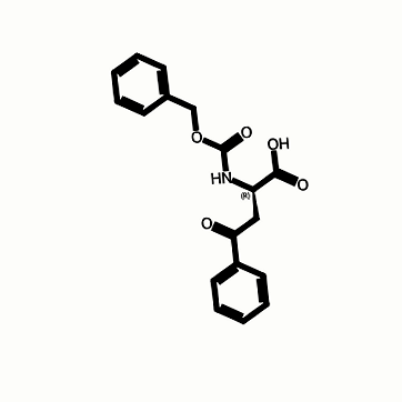 O=C(N[C@H](CC(=O)c1ccccc1)C(=O)O)OCc1ccccc1